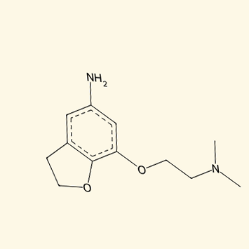 CN(C)CCOc1cc(N)cc2c1OCC2